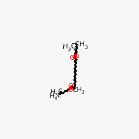 CC(C)CCCCOC(=O)CCCCCCCCCCCCCCCC(C)C(=O)OCCCCC(C)C